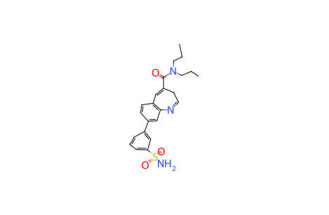 CCCN(CCC)C(=O)C1=Cc2ccc(-c3cccc(S(N)(=O)=O)c3)cc2N=CC1